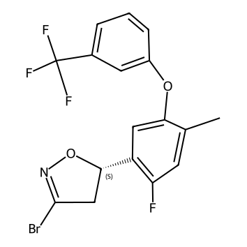 Cc1cc(F)c([C@@H]2CC(Br)=NO2)cc1Oc1cccc(C(F)(F)F)c1